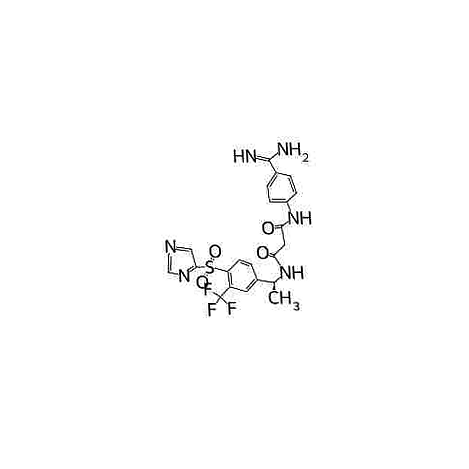 C[C@H](NC(=O)CC(=O)Nc1ccc(C(=N)N)cc1)c1ccc(S(=O)(=O)c2cnccn2)c(C(F)(F)F)c1